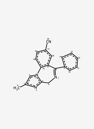 Cc1cn2c(n1)CN=C(c1ccccc1)c1cc(C#N)ccc1-2